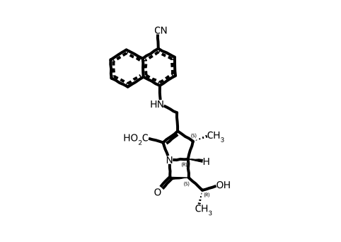 C[C@@H](O)[C@H]1C(=O)N2C(C(=O)O)=C(CNc3ccc(C#N)c4ccccc34)[C@H](C)[C@H]12